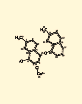 Cc1ccc2cccc([O-])c2n1.Cc1ccc2cccc([O-])c2n1.[Cl][Ga+2]